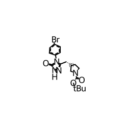 CC(C)(C)OC(=O)N1CC[C@@H](Cc2n[nH]c(=O)n2-c2ccc(Br)cc2)C1